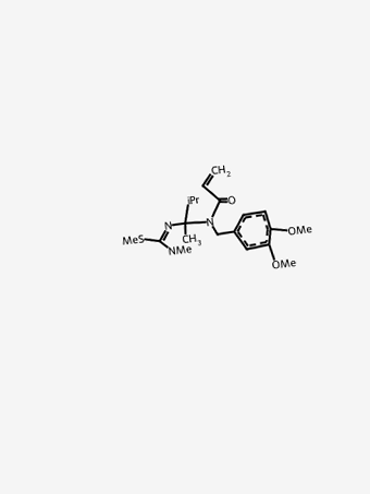 C=CC(=O)N(Cc1ccc(OC)c(OC)c1)C(C)(/N=C(\NC)SC)C(C)C